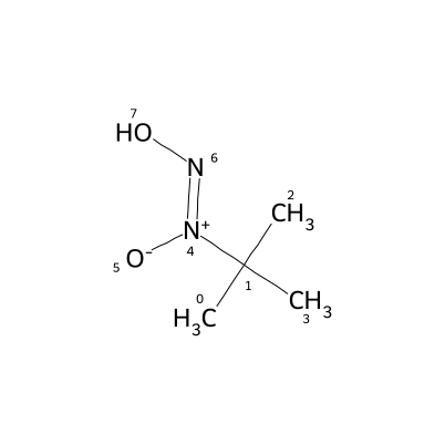 CC(C)(C)[N+]([O-])=NO